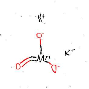 [K+].[K+].[O]=[Mn]([O-])[O-]